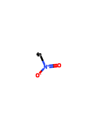 O=[N+]([O-])[In]